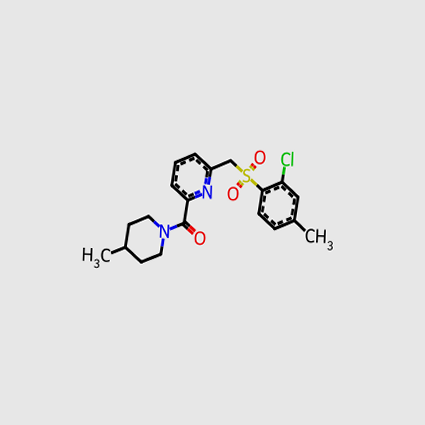 Cc1ccc(S(=O)(=O)Cc2cccc(C(=O)N3CCC(C)CC3)n2)c(Cl)c1